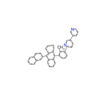 Cc1c(-c2ccc(-c3cccnc3)cn2)cccc1-c1c2ccccc2c(-c2ccc3ccccc3c2)c2ccccc12